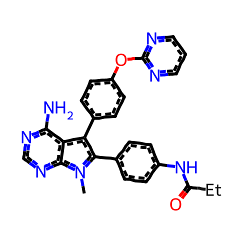 CCC(=O)Nc1ccc(-c2c(-c3ccc(Oc4ncccn4)cc3)c3c(N)ncnc3n2C)cc1